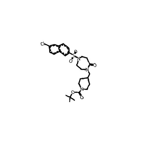 CC(C)(C)OC(=O)N1CCC(CN2CCN(S(=O)(=O)c3ccc4cc(Cl)ccc4c3)CCC2=O)CC1